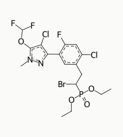 CCOP(=O)(OCC)C(Br)Cc1cc(-c2nn(C)c(OC(F)F)c2Cl)c(F)cc1Cl